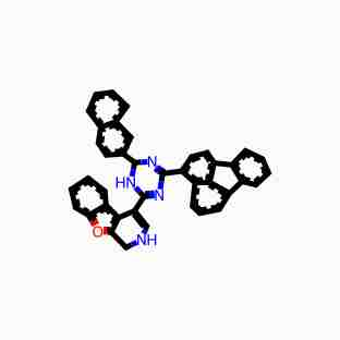 C1=C(C2=NC(c3ccc4c5c(cccc35)-c3ccccc3-4)=NC(c3ccc4ccccc4c3)N2)c2c(oc3ccccc23)CN1